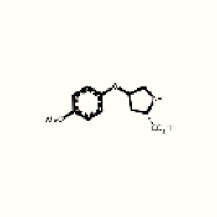 COc1ccc(OC2CN[C@H](C(=O)O)C2)cc1